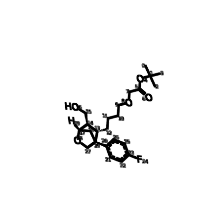 CC(C)(C)OC(=O)COCCCC[C@H]1[C@H](CO)[C@@H]2C[C@@]1(c1ccc(F)cc1)CO2